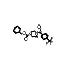 COC[C@@H](c1ccc(C(F)(F)F)cc1)N1CCN(C(=O)OCc2ccccc2)C[C@@H]1C